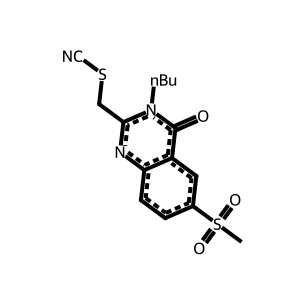 CCCCn1c(CSC#N)nc2ccc(S(C)(=O)=O)cc2c1=O